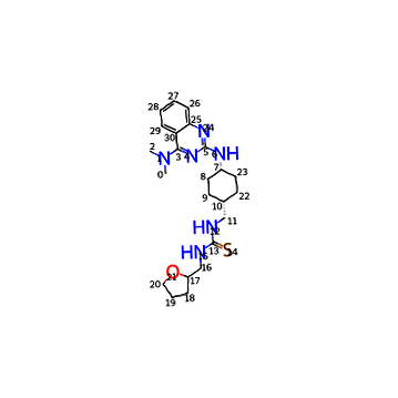 CN(C)c1nc(N[C@H]2CC[C@@H](CNC(=S)NCC3CCCO3)CC2)nc2ccccc12